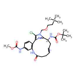 COC(=O)Nc1ccc2c(c1)NC(=O)CC/C=C/C[C@H](NC(=O)OC(C)(C)C)c1nc-2c(Cl)n1COCC[Si](C)(C)C